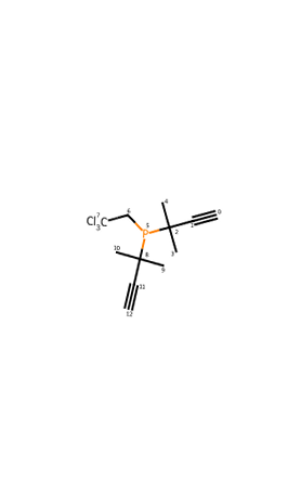 C#CC(C)(C)P(CC(Cl)(Cl)Cl)C(C)(C)C#C